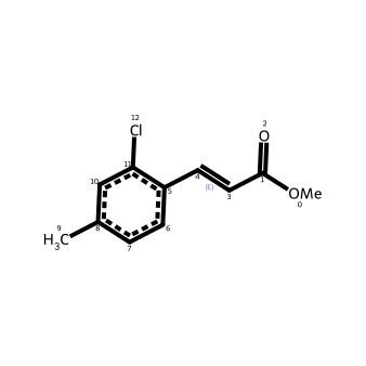 COC(=O)/C=C/c1ccc(C)cc1Cl